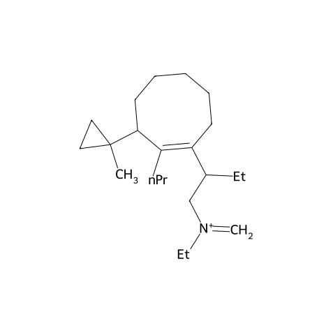 C=[N+](CC)CC(CC)/C1=C(\CCC)C(C2(C)CC2)CCCCC1